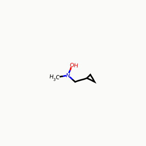 CN(O)CC1CC1